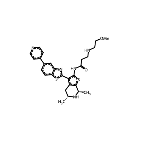 COCCNCCC(=O)Nc1sc2c(c1-c1nc3cc(-c4ccncc4)ccc3s1)C[C@@H](C)N[C@@H]2C